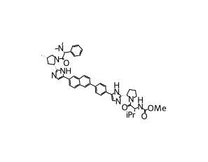 COC(=O)N[C@H](C(=O)N1CCC[C@H]1c1ncc(-c2ccc(-c3ccc4cc(-c5cnc([C@@H]6C[C@H](C)CN6C(=O)[C@@H](c6ccccc6)N(C)C)[nH]5)ccc4c3)cc2)[nH]1)C(C)C